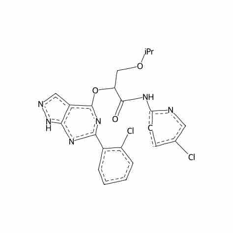 CC(C)OCC(Oc1nc(-c2ccccc2Cl)nc2[nH]ncc12)C(=O)Nc1ccc(Cl)cn1